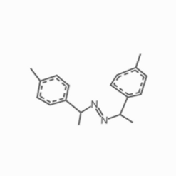 Cc1ccc(C(C)N=NC(C)c2ccc(C)cc2)cc1